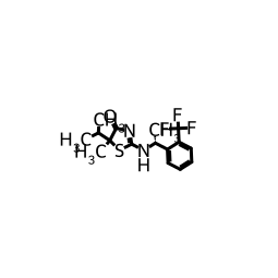 CC(C)C1(C)SC(N[C@H](C)c2ccccc2C(F)(F)F)=NC1=O